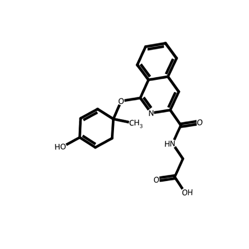 CC1(Oc2nc(C(=O)NCC(=O)O)cc3ccccc23)C=CC(O)=CC1